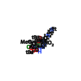 CCN1CCC2(CCN(c3ccc(N(C(=O)OC(C)(C)C)c4cc(NCC(=O)N(C(=O)OC(C)(C)C)c5c(Cl)c(OC)cc(OC)c5Cl)ncn4)c([N+](=O)[O-])c3)C2)C1